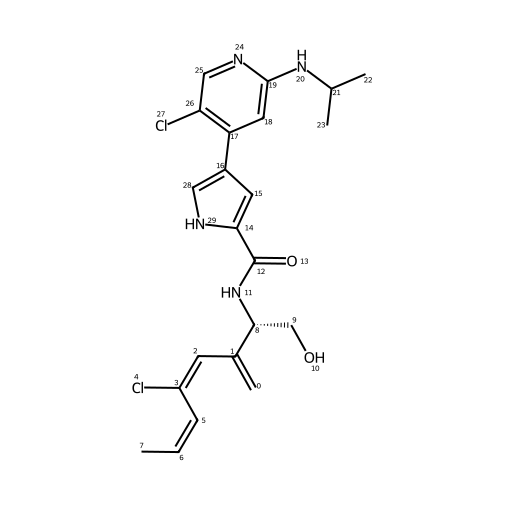 C=C(/C=C(Cl)\C=C/C)[C@@H](CO)NC(=O)c1cc(-c2cc(NC(C)C)ncc2Cl)c[nH]1